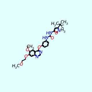 COCCOc1cc2ncnc(Oc3cccc(NC(=O)Nc4cc(C(C)(C)C)no4)c3)c2cc1OC